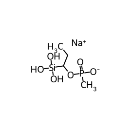 CCC(OP(C)(=O)[O-])[Si](O)(O)O.[Na+]